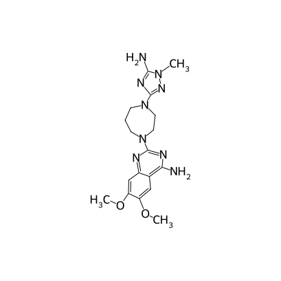 COc1cc2nc(N3CCCN(c4nc(N)n(C)n4)CC3)nc(N)c2cc1OC